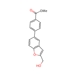 COC(=O)c1ccc(-c2ccc3oc(CO)cc3c2)cc1